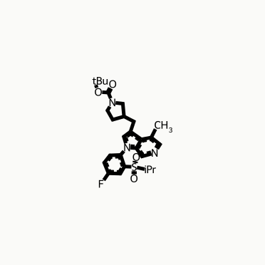 Cc1cncc2c1c(CC1CCN(C(=O)OC(C)(C)C)C1)cn2-c1ccc(F)cc1S(=O)(=O)C(C)C